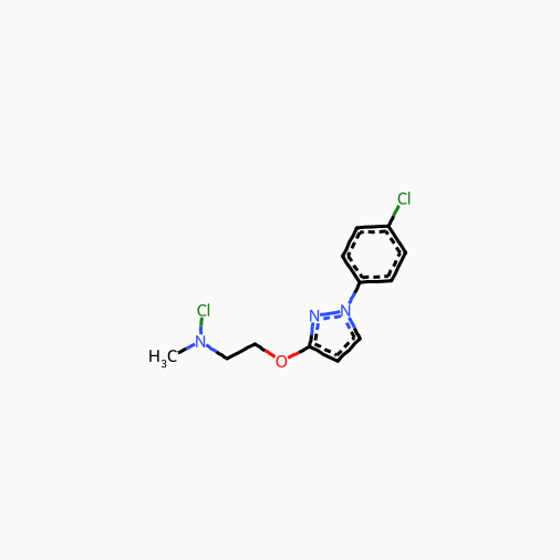 CN(Cl)CCOc1ccn(-c2ccc(Cl)cc2)n1